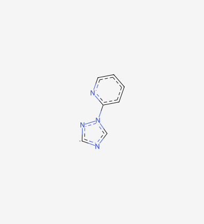 [c]1ncn(-c2ccccn2)n1